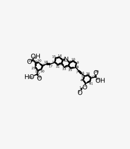 O=COc1cc(C#Cc2ccc3nc4ccc(C#Cc5cc(C(=O)O)cc(C(=O)O)c5)cc4cc3c2)cc(C(=O)O)c1